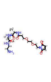 CC(C)[C@H](NC(=O)CCOCCOCCN1C(=O)C=CC1=O)C(=O)N[C@@H](C)C(=O)NCCN